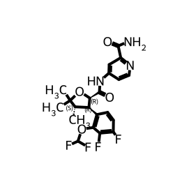 C[C@H]1[C@H](c2ccc(F)c(F)c2OC(F)F)[C@H](C(=O)Nc2ccnc(C(N)=O)c2)OC1(C)C